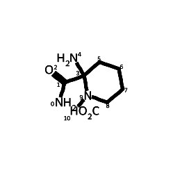 NC(=O)C1(N)CCCCN1C(=O)O